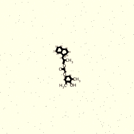 C/C(=C\OC(=O)COc1cc(C)c(O)c(C)c1)Cc1cccc2ccccc12